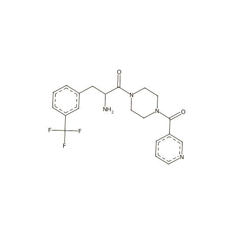 NC(Cc1cccc(C(F)(F)F)c1)C(=O)N1CCN(C(=O)c2cccnc2)CC1